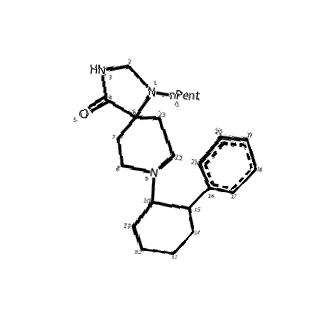 CCCCCN1CNC(=O)C12CCN(C1CCCCC1c1ccccc1)CC2